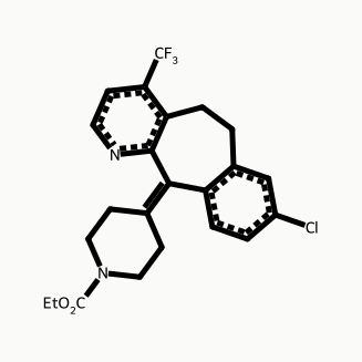 CCOC(=O)N1CCC(=C2c3ccc(Cl)cc3CCc3c(C(F)(F)F)ccnc32)CC1